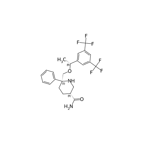 C[C@@H](OC[C@@]1(c2ccccc2)CC[C@@H](C(N)=O)CN1)c1cc(C(F)(F)F)cc(C(F)(F)F)c1